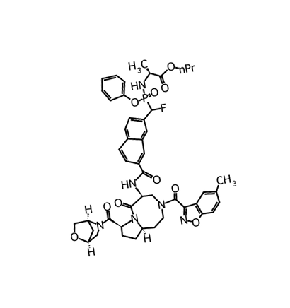 CCCOC(=O)[C@H](C)NP(=O)(Oc1ccccc1)C(F)c1ccc2ccc(C(=O)N[C@H]3CN(C(=O)c4noc5ccc(C)cc45)CC[C@H]4CC[C@@H](C(=O)N5C[C@@H]6C[C@H]5CO6)N4C3=O)cc2c1